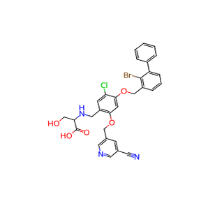 N#Cc1cncc(COc2cc(OCc3cccc(-c4ccccc4)c3Br)c(Cl)cc2CNC(CO)C(=O)O)c1